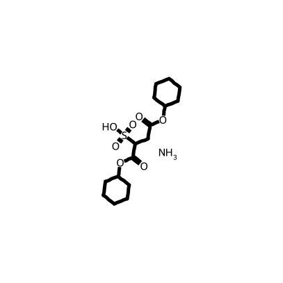 N.O=C(CC(C(=O)OC1CCCCC1)S(=O)(=O)O)OC1CCCCC1